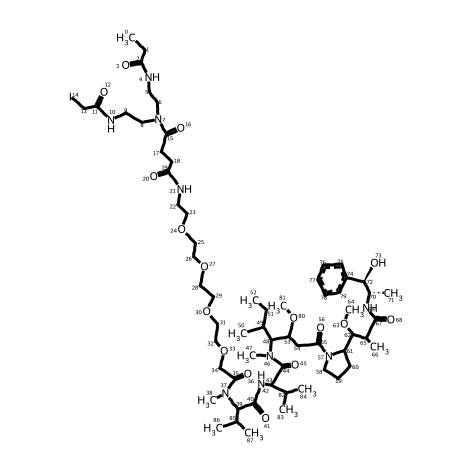 CCC(=O)NCCN(CCNC(=O)CI)C(=O)CCC(=O)NCCOCCOCCOCCOCC(=O)N(C)C(C(=O)NC(C(=O)N(C)C(C(C)CC)C(CC(=O)N1CCCC1C(OC)C(C)C(=O)N[C@@H](C)[C@H](O)c1ccccc1)OC)C(C)C)C(C)C